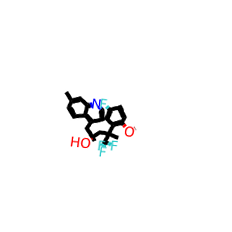 COc1ccc(F)cc1C(C)(CC(C)(O)Cc1ccnc2cc(C)ccc12)C(F)(F)F